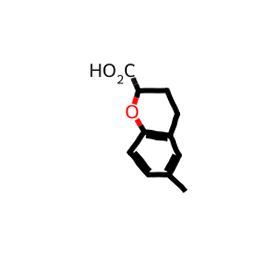 Cc1ccc2c(c1)CCC(C(=O)O)O2